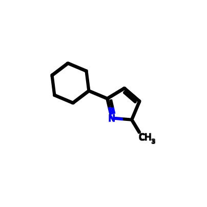 CC1C=CC(C2CCCCC2)=N1